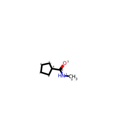 CNC(=O)C1[CH]CCC1